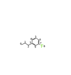 CCCc1[c]ccc(F)c1